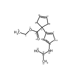 CCOC(=O)C1(c2csc(NB(C)O)n2)CC=CC1